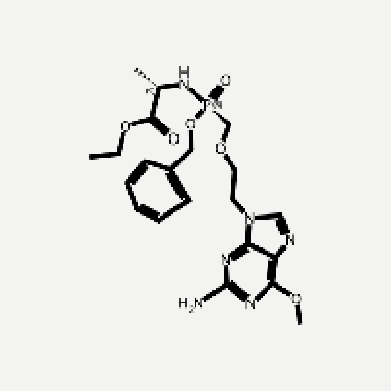 CCOC(=O)[C@H](C)N[P@@](=O)(COCCn1cnc2c(OC)nc(N)nc21)OCc1ccccc1